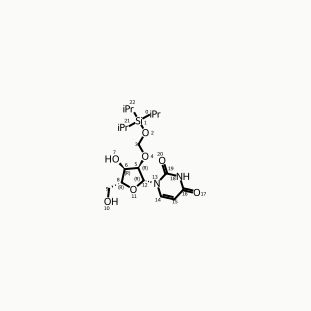 CC(C)[Si](OCO[C@@H]1[C@H](O)[C@@H](CO)O[C@H]1n1ccc(=O)[nH]c1=O)(C(C)C)C(C)C